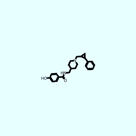 O=C(NCC1CCN(CC2CC2c2ccccc2)CC1)c1ccc(O)cc1